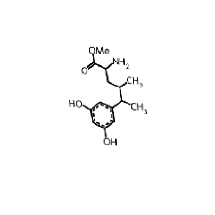 COC(=O)C(N)CC(C)C(C)c1cc(O)cc(O)c1